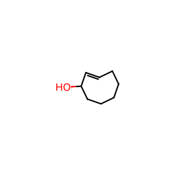 OC1/C=C/CCCCC1